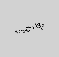 CCOc1ccc(COC(=O)CS(=O)(=O)Cl)cc1